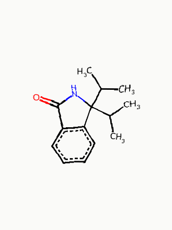 CC(C)C1(C(C)C)NC(=O)c2ccccc21